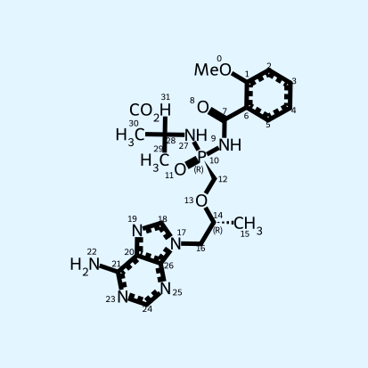 COc1ccccc1C(=O)N[P@@](=O)(CO[C@H](C)Cn1cnc2c(N)ncnc21)NC(C)(C)C(=O)O